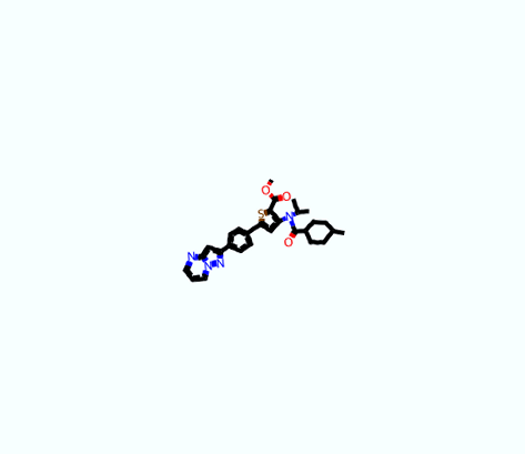 COC(=O)c1sc(-c2ccc(-c3cc4ncccn4n3)cc2)cc1N(C(=O)C1CCC(C)CC1)C(C)C